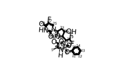 CC(C)OC(=O)[C@H](C)N[P@](=O)(Oc1ccccc1)O[C@H](C(F)F)[C@H]1O[C@@H](n2cc(F)c(=O)[nH]c2=O)C[C@@H]1O